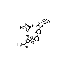 CSc1sc(C(=N)N)cc1S(=O)(=O)c1cccc(-c2ccc(N(CCCS(C)(=O)=O)C(=N)N)cc2C)c1.O=C(O)C(F)(F)F